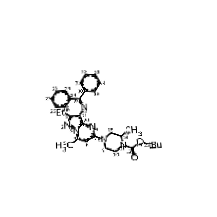 CCc1nn2c(C)cc(N3CCN(C(=O)OC(C)(C)C)C(C)C3)nc2c1N=C(c1ccccc1)c1ccccc1